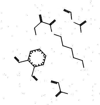 C=C(CC)C(=O)OCCCCCC.C=CC(=O)O.C=COC(C)=O.C=Cc1ccccc1C=C